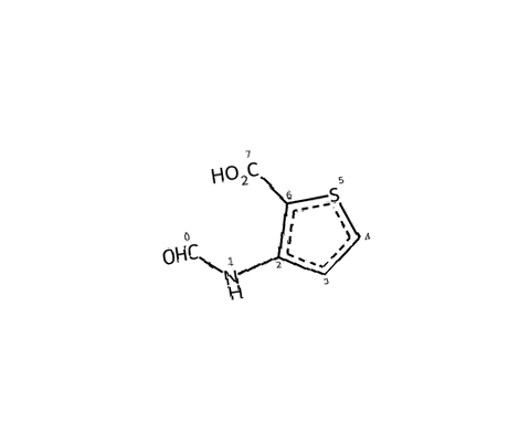 O=CNc1ccsc1C(=O)O